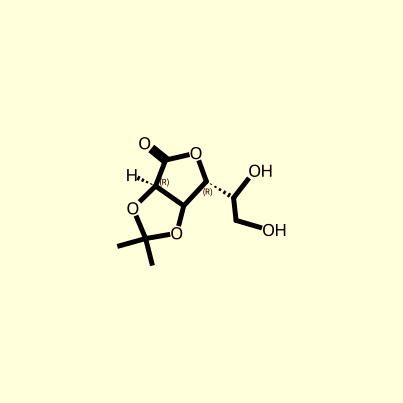 CC1(C)OC2[C@@H](C(O)CO)OC(=O)[C@@H]2O1